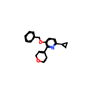 C1=C(c2nc(C3CC3)ccc2OCc2ccccc2)CCOC1